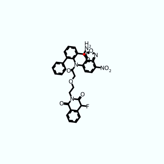 NC(=O)c1cccc(-c2ccccc2)c1N(C(=O)COCCN1C(=O)c2ccccc2C(F)C1=O)c1ccc([N+](=O)[O-])c2nonc12